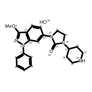 COc1nn(-c2ccccc2)c2cc(N3CCN(C4CCNCC4)C3=O)ccc12.Cl